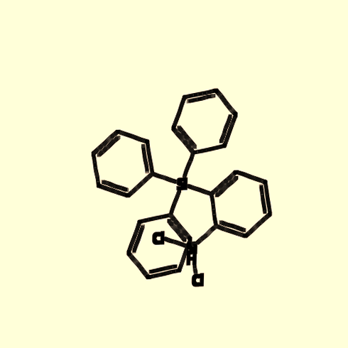 Cl[SiH](Cl)c1ccccc1[Si](c1ccccc1)(c1ccccc1)c1ccccc1